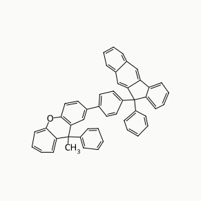 CC1(c2ccccc2)c2ccccc2Oc2ccc(-c3ccc(C4(c5ccccc5)c5ccccc5-c5cc6ccccc6cc54)cc3)cc21